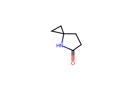 O=C1CCC2(CC2)N1